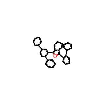 c1ccc(-c2ccc(-c3ccccc3)c(-c3oc(-c4ccccc4-c4ccccc4)c4ccccc34)c2)cc1